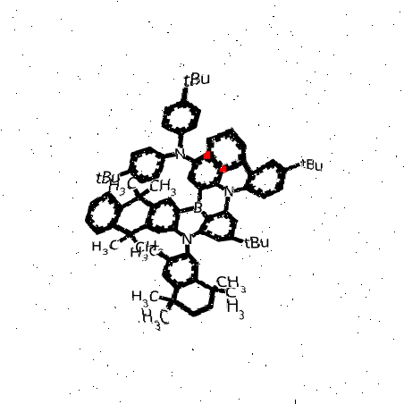 Cc1cc2c(cc1N1c3cc4c(cc3B3c5cc(N(c6ccc(C(C)(C)C)cc6)c6ccc(C(C)(C)C)cc6)ccc5N(c5ccc(C(C)(C)C)cc5-c5ccccc5)c5cc(C(C)(C)C)cc1c53)C(C)(C)c1ccccc1C4(C)C)C(C)(C)CCC2(C)C